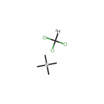 C[Si](C)(C)C.[2H]C(Cl)(Cl)Cl